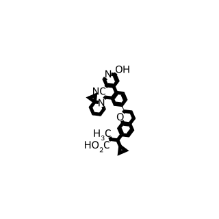 C[C@H](C(=O)O)C(c1ccc2c(c1)O[C@H](c1ccc(-c3cc(O)ncc3C#N)c(CN3CCCCC34CC4)c1)CC2)C1CC1